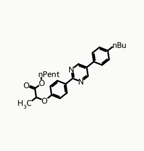 CCCCCOC(=O)C(C)Oc1ccc(-c2ncc(-c3ccc(CCCC)cc3)cn2)cc1